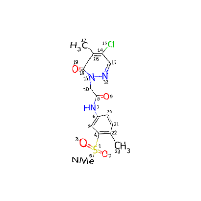 CNS(=O)(=O)c1cc(NC(=O)Cn2ncc(Cl)c(C)c2=O)ccc1C